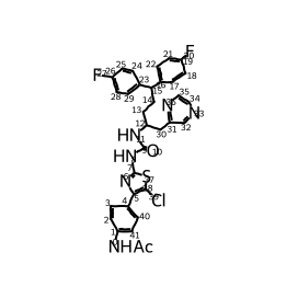 CC(=O)Nc1ccc(-c2nc(NC(=O)NC(CCC(c3ccc(F)cc3)c3ccc(F)cc3)Cc3cnccn3)sc2Cl)cc1